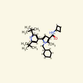 Cc1c(C(=O)NC2CCC2)cc(-c2cc(C(C)(C)C)nc(C(C)(C)C)c2)n1CC1CCCCC1